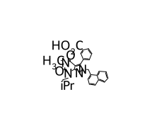 CC(C)CCn1c(=O)n(C)c(=O)c2c(-c3cccc(C(=O)O)c3)n(Cc3cccc4ccccc34)nc21